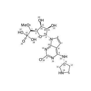 COC([C@@H]1O[C@@H](n2ccc3c(N[C@@H]4CCNC4)nc(Cl)nc32)[C@H](O)[C@@H]1O)P(=O)(O)O